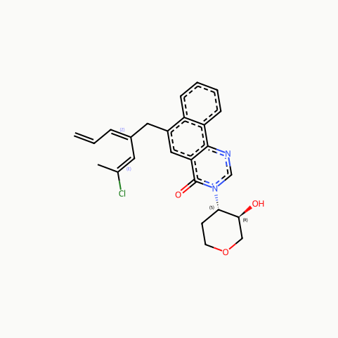 C=C/C=C(\C=C(/C)Cl)Cc1cc2c(=O)n([C@H]3CCOC[C@@H]3O)cnc2c2ccccc12